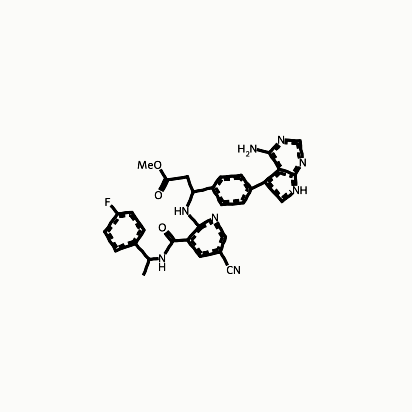 COC(=O)CC(Nc1ncc(C#N)cc1C(=O)NC(C)c1ccc(F)cc1)c1ccc(-c2c[nH]c3ncnc(N)c23)cc1